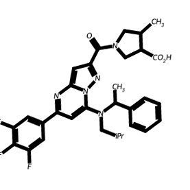 CC(C)CN(c1cc(-c2cc(F)c(F)c(F)c2)nc2cc(C(=O)N3CC(C)C(C(=O)O)C3)nn12)C(C)c1ccccc1